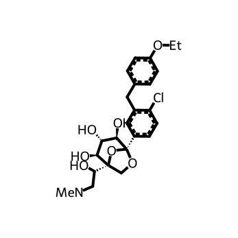 CCOc1ccc(Cc2cc([C@]34OC[C@](C(O)CNC)(O3)[C@@H](O)[C@H](O)[C@H]4O)ccc2Cl)cc1